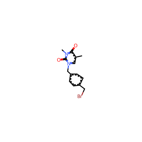 Cc1cn(Cc2ccc(CBr)cc2)c(=O)n(C)c1=O